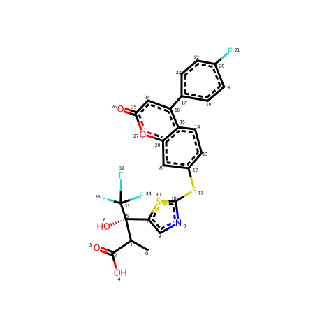 CC(C(=O)O)[C@](O)(c1cnc(Sc2ccc3c(-c4ccc(F)cc4)cc(=O)oc3c2)s1)C(F)(F)F